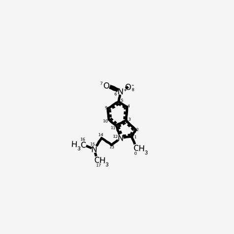 Cc1cc2cc([N+](=O)[O-])ccc2n1CCN(C)C